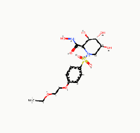 CCOCCOc1ccc(S(=O)(=O)N2C[C@H](O)[C@@H](O)[C@H](O)[C@@H]2C(=O)NO)cc1